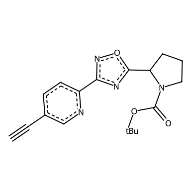 C#Cc1ccc(-c2noc(C3CCCN3C(=O)OC(C)(C)C)n2)nc1